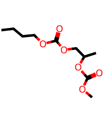 CCCCOC(=O)OC[C](C)OC(=O)OC